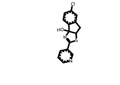 OC12N=C(c3cccnc3)SC1Cc1cc(Cl)ccc12